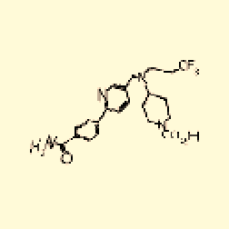 NC(=O)c1ccc(-c2ccc(CN(CCC(F)(F)F)C3CCN(C(=O)O)CC3)cn2)cc1